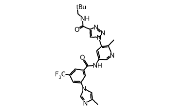 Cc1cn(-c2cc(C(=O)Nc3cnc(C)c(-n4cc(C(=O)NCC(C)(C)C)nn4)c3)cc(C(F)(F)F)c2)cn1